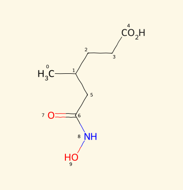 CC(CCC(=O)O)CC(=O)NO